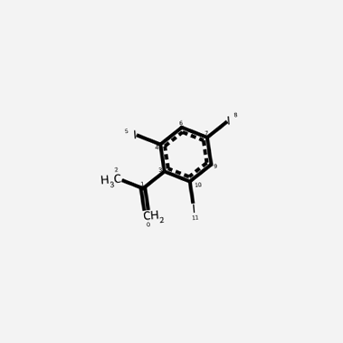 C=C(C)c1c(I)cc(I)cc1I